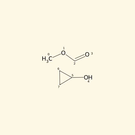 COC=O.OC1CC1